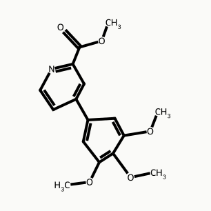 COC(=O)c1cc(-c2cc(OC)c(OC)c(OC)c2)ccn1